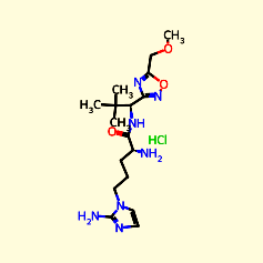 COCc1nc([C@@H](NC(=O)[C@@H](N)CCCn2ccnc2N)C(C)(C)C)no1.Cl